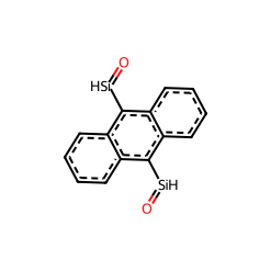 O=[SiH]c1c2ccccc2c([SiH]=O)c2ccccc12